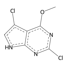 COc1nc(Cl)nc2[nH]cc(Cl)c12